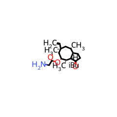 C=C[C@@]1(C)C[C@H](C)C2CCC(=O)[C@H]2[C@@](C)([C@H](C)CC)[C@H](OC(=O)CN)C1